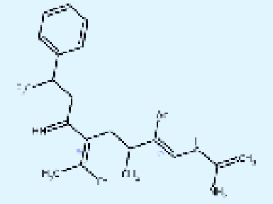 C=C(N)N/C=C(\C(C)=O)C(C)C/C(C(=N)CC(c1ccccc1)C(F)(F)F)=C(/C)CC